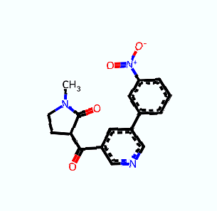 CN1CCC(C(=O)c2cncc(-c3cccc([N+](=O)[O-])c3)c2)C1=O